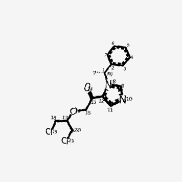 C[C@H](c1ccccc1)n1cncc1C(=O)COC(CCl)CCl